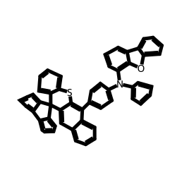 c1ccc(N(c2ccc(-c3c4c(cc5ccccc35)C3(c5ccccc5S4)c4ccccc4-c4ccccc43)cc2)c2cccc3c2oc2ccccc23)cc1